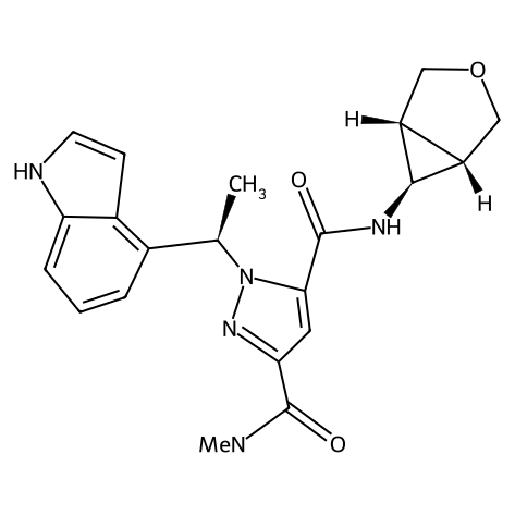 CNC(=O)c1cc(C(=O)N[C@H]2[C@@H]3COC[C@@H]32)n([C@H](C)c2cccc3[nH]ccc23)n1